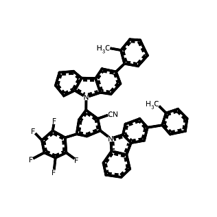 Cc1ccccc1-c1ccc2c(c1)c1ccccc1n2-c1cc(-c2c(F)c(F)c(F)c(F)c2F)cc(-n2c3ccccc3c3cc(-c4ccccc4C)ccc32)c1C#N